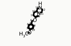 COc1ccc(COC2=CN3CCNCC3CC2)cc1